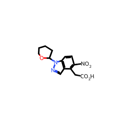 O=C(O)Cc1c([N+](=O)[O-])ccc2c1cnn2C1CCCCO1